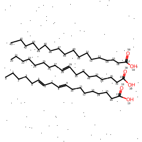 CCCCCC=CCC=CCCCCCCCC(=O)O.CCCCCCCCC=CCCCCCCCC(=O)O.CCCCCCCCCCCCCCCCCC(=O)O